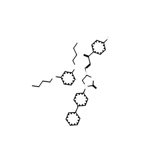 CCCCOc1ccc([C@@H]2[C@@H](/C=C/C(=O)c3ccc(F)cc3)OC(=O)N2c2ccc(-c3ccccc3)cc2)c(OCCCC)c1